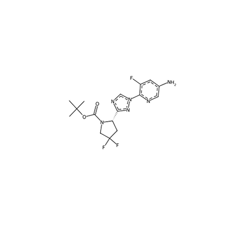 CC(C)(C)OC(=O)N1CC(F)(F)C[C@H]1c1ncn(-c2ncc(N)cc2F)n1